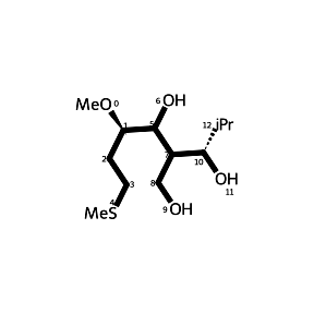 CO[C@H](CCSC)C(O)C(CO)[C@@H](O)C(C)C